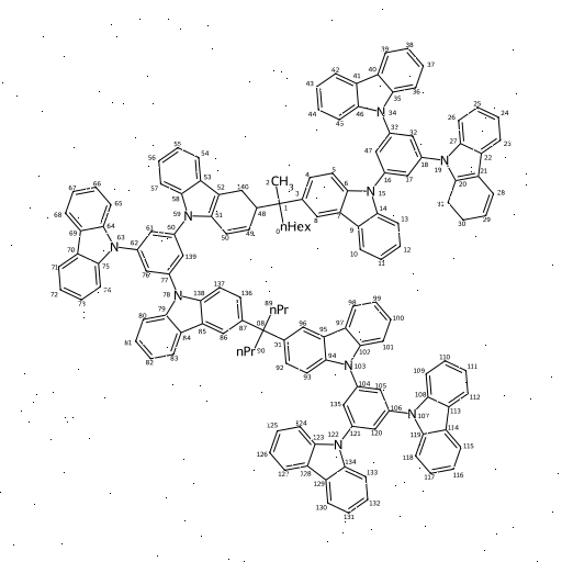 CCCCCCC(C)(c1ccc2c(c1)c1ccccc1n2-c1cc(-n2c3c(c4ccccc42)C=CCC3)cc(-n2c3ccccc3c3ccccc32)c1)C1C=Cc2c(c3ccccc3n2-c2cc(-n3c4ccccc4c4ccccc43)cc(-n3c4ccccc4c4cc(C(CCC)(CCC)c5ccc6c(c5)c5ccccc5n6-c5cc(-n6c7ccccc7c7ccccc76)cc(-n6c7ccccc7c7ccccc76)c5)ccc43)c2)C1